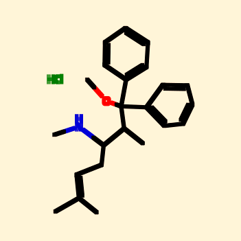 CNC(CC=C(C)C)C(C)C(OC)(c1ccccc1)c1ccccc1.Cl